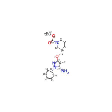 Cc1c(OC[C@H]2CCCN(C(=O)OC(C)(C)C)C2)nn(-c2ccccc2)c1N